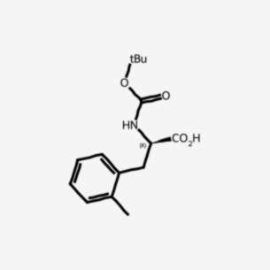 Cc1ccccc1C[C@@H](NC(=O)OC(C)(C)C)C(=O)O